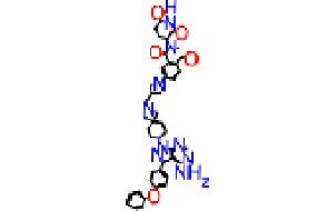 CN(C(=O)c1cc(N2CC(CN3CC4(CCC(n5nc(-c6ccc(Oc7ccccc7)cc6)c6c(N)ncnc65)CC4)C3)C2)ccc1C=O)C1CCC(=O)NC1=O